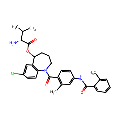 Cc1ccccc1C(=O)Nc1ccc(C(=O)N2CCCC(OC(=O)[C@H](N)C(C)C)c3cc(Cl)ccc32)c(C)c1